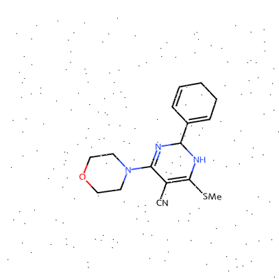 CSC1=C(C#N)C(N2CCOCC2)=NC(C2=CCCC=C2)N1